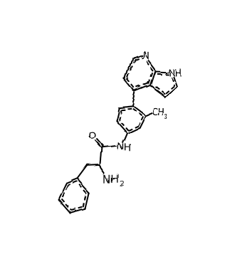 Cc1cc(NC(=O)C(N)Cc2ccccc2)ccc1-c1ccnc2[nH]ccc12